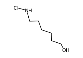 OCCCCCCNCl